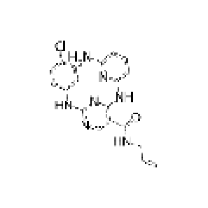 C=CCNC(=O)c1cnc(Nc2ccc(Cl)cc2)nc1Nc1cccc(N)n1